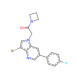 O=C(Cn1cc(Br)c2ncc(-c3ccc(F)cc3)cc21)N1CCC1